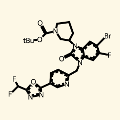 CC(C)(C)OC(=O)N1CCCC(n2c(=O)n(Cc3ccc(-c4nnc(C(F)F)o4)cn3)c3cc(F)c(Br)cc32)C1